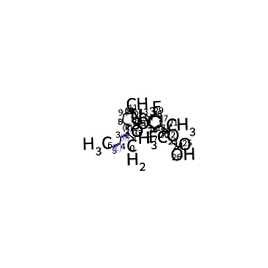 C=C/C(=C\C=C/C)[C@H]1CC[C@H](C)N(Cc2cc(F)c(C(C)(C)OCC(=O)O)cc2F)S1(=O)=O